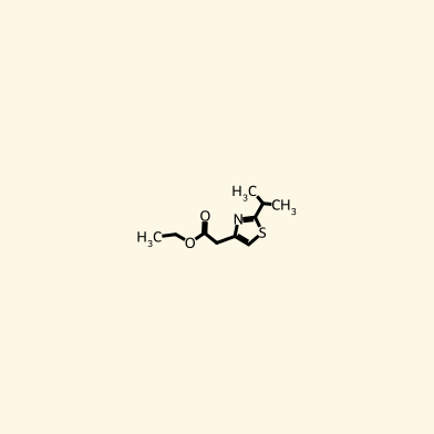 CCOC(=O)Cc1csc(C(C)C)n1